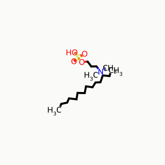 CCCCCCCCCCCC(CC)[N+](C)(C)CCCOS(=O)(=O)O